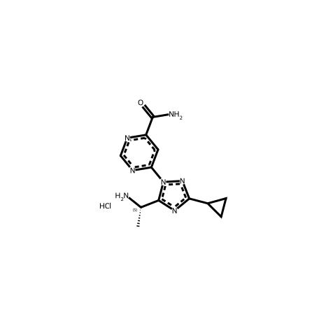 C[C@H](N)c1nc(C2CC2)nn1-c1cc(C(N)=O)ncn1.Cl